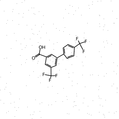 O=C(O)c1cc(-c2ccc(C(F)(F)F)cc2)cc(C(F)(F)F)c1